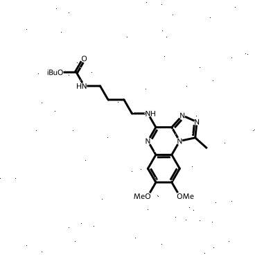 COc1cc2nc(NCCCCNC(=O)OCC(C)C)c3nnc(C)n3c2cc1OC